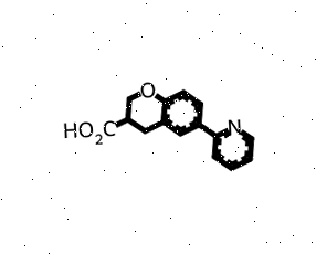 O=C(O)C1COc2ccc(-c3ccccn3)cc2C1